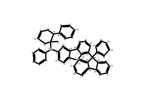 CC1(N(c2ccccc2)c2ccc3sc4c(C5(c6ccccc6)c6ccccc6-c6ccccc65)cccc4c3c2)CC=CCC1c1ccccc1